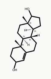 C[C@]12CCC(O)C=C1CC[C@@H]1[C@@H]2CC[C@]2(C)C(O)CC[C@@H]12